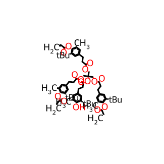 C=CC(=O)Oc1c(C)cc(CCC(=O)OCC(COC(=O)CCc2cc(C)c(OC(=O)C=C)c(C(C)(C)C)c2)(COC(=O)CCc2cc(C)c(OC(=O)C=C)c(C(C)(C)C)c2)OC(=O)CCc2cc(C)c(O)c(C(C)(C)C)c2)cc1C(C)(C)C